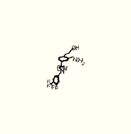 NCc1cc(-c2nnc(-c3ccc(C(F)(F)F)c(F)c3)o2)ccc1CCCO